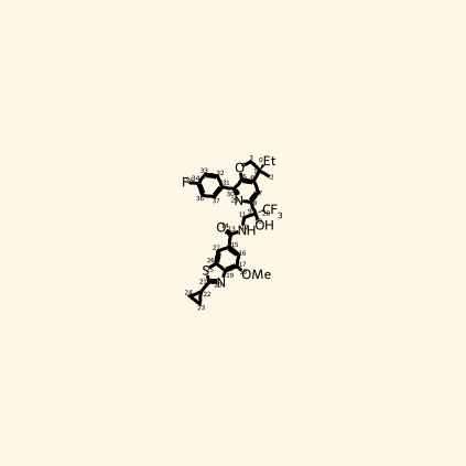 CC[C@]1(C)COc2c1cc([C@@](O)(CNC(=O)c1cc(OC)c3nc(C4CC4)sc3c1)C(F)(F)F)nc2-c1ccc(F)cc1